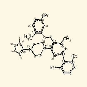 CCc1cccc(CC)c1-c1nc(C)c(COc2cc(C(C)C)ccc2C)c(N2CCN(c3nnn[nH]3)CC2)n1